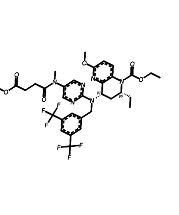 CCOC(=O)N1c2ccc(OC)nc2[C@@H](N(Cc2cc(C(F)(F)F)cc(C(F)(F)F)c2)c2ncc(N(C)C(=O)CCC(=O)OC)cn2)C[C@H]1CC